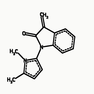 C=C1C(=O)N(c2ccc(C)n2C)c2ccccc21